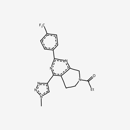 CCC(=O)N1CCc2c(nc(-c3ccc(C(F)(F)F)cc3)nc2-c2cn(C)nn2)C1